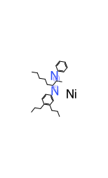 CCCCCC(=N\c1ccc(CCC)c(CCC)c1)/C(C)=N/c1ccccc1.[Ni]